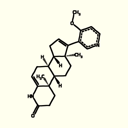 COc1ccncc1C1=CC[C@H]2[C@@H]3CC=C4NC(=O)CC[C@]4(C)[C@H]3CC[C@]12C